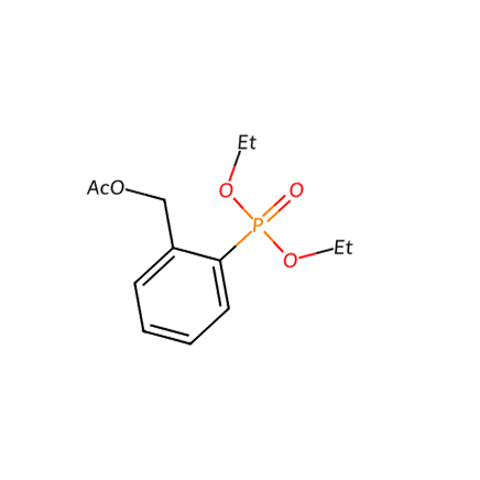 CCOP(=O)(OCC)c1ccccc1COC(C)=O